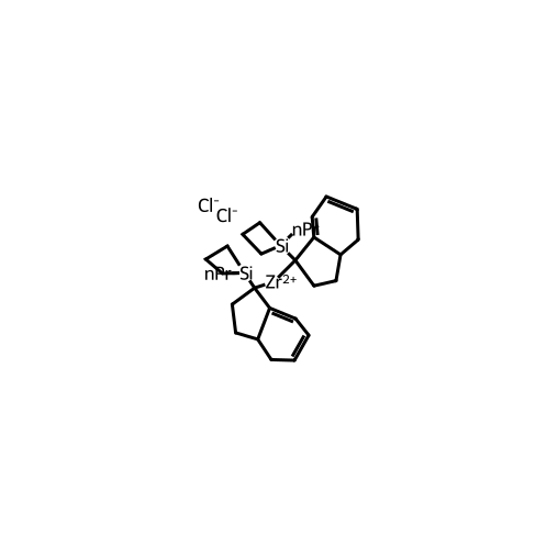 CCC[Si]1([C]2([Zr+2][C]3([Si]4(CCC)CCC4)CCC4CC=CC=C43)CCC3CC=CC=C32)CCC1.[Cl-].[Cl-]